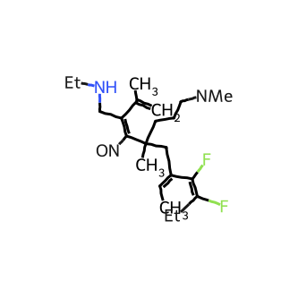 C=C(C)/C(CNCC)=C(/N=O)C(C)(CCCNC)CC(=C/C)/C(F)=C(/F)CC